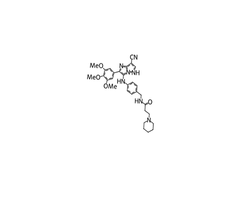 COc1cc(-c2nc3c(C#N)c[nH]n3c2Nc2ccc(CNC(=O)CCN3CCCCC3)cc2)cc(OC)c1OC